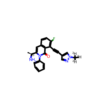 [2H]C([2H])([2H])n1cc(C#Cc2c(F)ccc3cc([C@H](C)N)n(-c4ccccc4)c(=O)c23)cn1